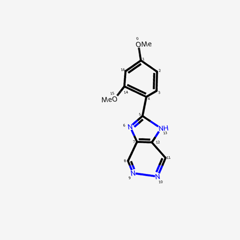 COc1ccc(-c2nc3cnncc3[nH]2)c(OC)c1